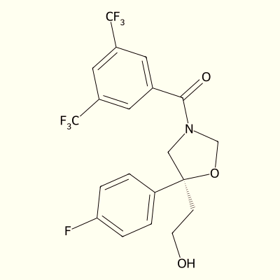 O=C(c1cc(C(F)(F)F)cc(C(F)(F)F)c1)N1CO[C@@](CCO)(c2ccc(F)cc2)C1